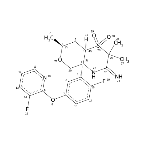 C[C@H]1C[C@@H]2[C@](c3cc(Oc4ncccc4F)ccc3F)(CO1)NC(=N)C(C)(C)S2(=O)=O